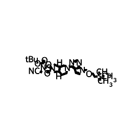 CC(C)(C)OC(=O)N(CC#N)S(=O)(=O)N1C[C@H]2CCN(c3ncnc4c3ccn4COCC[Si](C)(C)C)C[C@H]2C1